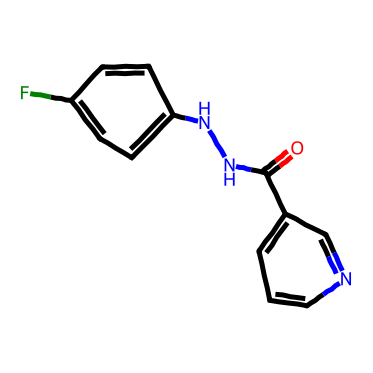 O=C(NNc1ccc(F)cc1)c1cccnc1